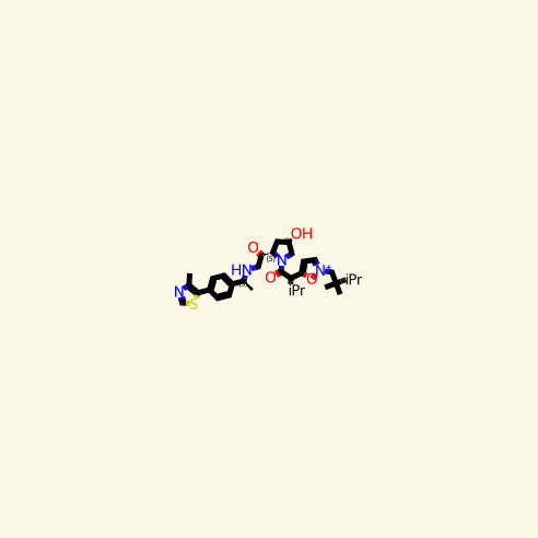 Cc1ncsc1-c1ccc([C@H](C)NCC(=O)[C@@H]2C[C@@H](O)CN2C(=O)C(c2cc[n+](CC(C)(C)C(C)C)o2)C(C)C)cc1